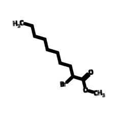 CCCCCCCCC(Br)C(=O)OC